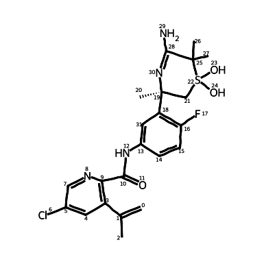 C=C(C)c1cc(Cl)cnc1C(=O)Nc1ccc(F)c([C@]2(C)CS(O)(O)C(C)(C)C(N)=N2)c1